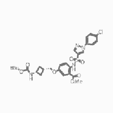 COC(=O)c1cc(OC[C@H]2C[C@@H](NC(=O)OC(C)(C)C)C2)ccc1NS(=O)(=O)c1cnn(-c2ccc(Cl)cc2)c1